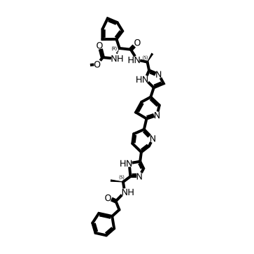 COC(=O)N[C@@H](C(=O)N[C@@H](C)c1ncc(-c2ccc(-c3ccc(-c4cnc([C@H](C)NC(=O)Cc5ccccc5)[nH]4)cn3)nc2)[nH]1)c1ccccc1